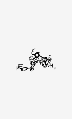 Nc1ncnn2c(-c3ccc(CF)c(C(=O)N[C@@H]4CN(C(=O)C5CCC(F)(F)C5)C[C@@H]4F)c3)cc(C(F)(F)F)c12